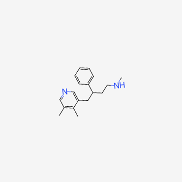 CNCCC(Cc1cncc(C)c1C)c1ccccc1